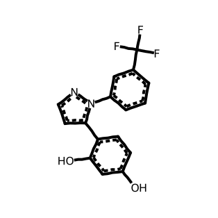 Oc1ccc(-c2ccnn2-c2cccc(C(F)(F)F)c2)c(O)c1